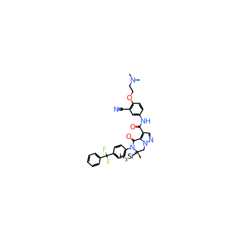 CN(C)CCOc1ccc(NC(=O)c2cnn3c2C(=O)N(c2ccc(C(F)(F)c4ccccc4)cc2)[C@@](C)([SiH3])C3)cc1C#N